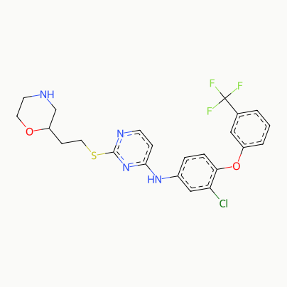 FC(F)(F)c1cccc(Oc2ccc(Nc3ccnc(SCCC4CNCCO4)n3)cc2Cl)c1